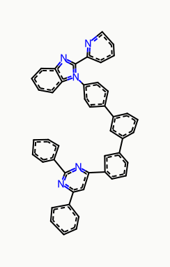 c1ccc(-c2cc(-c3cccc(-c4cccc(-c5ccc(-n6c(-c7ccccn7)nc7ccccc76)cc5)c4)c3)nc(-c3ccccc3)n2)cc1